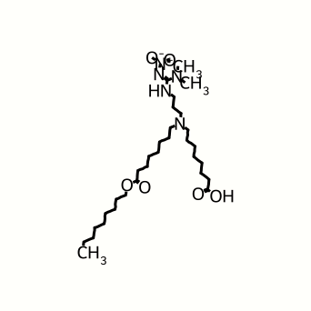 CCCCCCCCCOC(=O)CCCCCCCN(CCCCCCCC(=O)O)CCCN/C(=N/[N+](=O)[O-])N(C)C